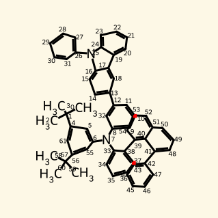 CC(C)(C)c1cc(N(c2cccc(-c3ccc4c(c3)c3ccccc3n4-c3ccccc3)c2)c2ccccc2C2=c3c(-c4ccccc4)cccc3=CCC2)cc(C(C)(C)C)c1